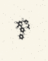 CC(=O)Cn1ccc(Nc2cc(Cl)c(C#N)c(-c3ccc(Oc4ccccc4)cc3)n2)n1